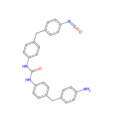 Nc1ccc(Cc2ccc(NC(=O)Nc3ccc(Cc4ccc(N=C=O)cc4)cc3)cc2)cc1